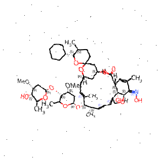 CO[C@@H]1C[C@H](O[C@H]2C(C)O[C@@H](O[C@@H]3/C(C)=C/C[C@@H]4C[C@@H](CC5(CC[C@H](C)[C@@H](C6CCCCC6)O5)O4)OC(=O)[C@@H]4C=C(C)/C(=N/O)[C@H]5OC/C(=C\C=C\[C@@H]3C)[C@]54O)C[C@H]2OC)OC(C)[C@@H]1O